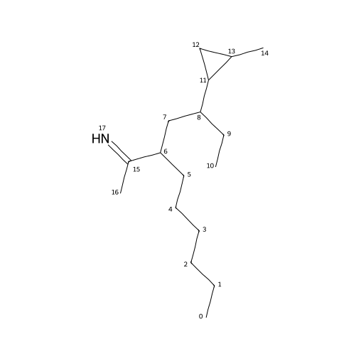 CCCCCCC(CC(CC)C1CC1C)C(C)=N